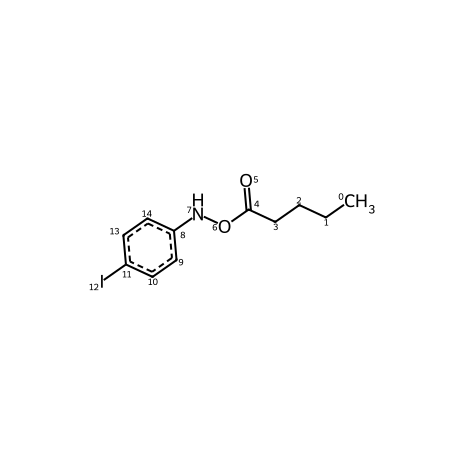 CCCCC(=O)ONc1ccc(I)cc1